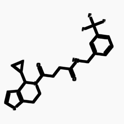 O=C(CCC(=O)N1CCc2sccc2C1C1CC1)NCc1cccc(C(F)(F)F)c1